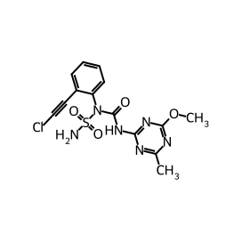 COc1nc(C)nc(NC(=O)N(c2ccccc2C#CCl)S(N)(=O)=O)n1